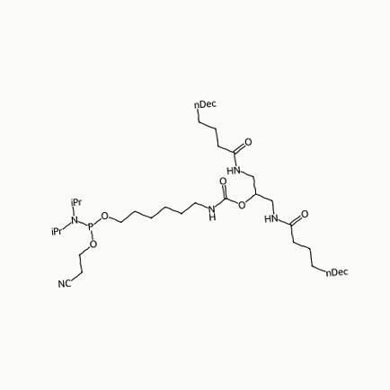 CCCCCCCCCCCCCC(=O)NCC(CNC(=O)CCCCCCCCCCCCC)OC(=O)NCCCCCCOP(OCCC#N)N(C(C)C)C(C)C